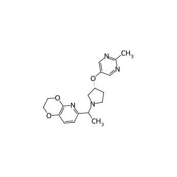 Cc1ncc(O[C@@H]2CCN(C(C)c3ccc4c(n3)OCCO4)C2)cn1